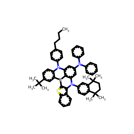 CCCCc1ccc(N2c3ccc(C(C)(C)C)cc3B3c4sc5ccccc5c4N(c4ccc5c(c4)C(C)(C)CCC5(C)C)c4cc(N(c5ccccc5)c5ccccc5)cc2c43)cc1